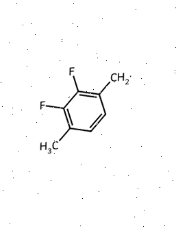 [CH2]c1ccc(C)c(F)c1F